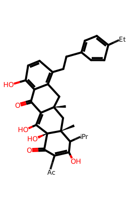 CCc1ccc(CCc2ccc(O)c3c2C[C@]2(C)C[C@]4(C)C(C(C)C)C(O)=C(C(C)=O)C(=O)[C@]4(O)C(O)=C2C3=O)cc1